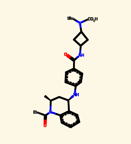 CCC(=O)N1c2ccccc2[C@H](Nc2ccc(C(=O)NC3CC(N(C(=O)O)C(C)(C)C)C3)cc2)C[C@@H]1C